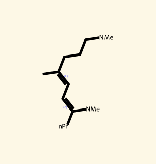 CCC/C(=C/C=C(\C)CCCNC)NC